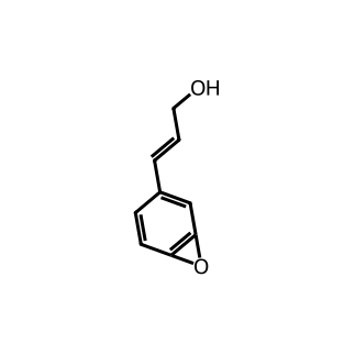 OCC=Cc1ccc2c(c1)O2